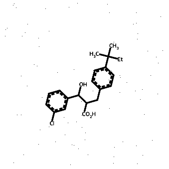 CCC(C)(C)c1ccc(CC(C(=O)O)C(O)c2cccc(Cl)c2)cc1